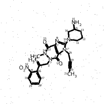 C=C(Cn1c(=O)c2c(nc(N3CCCC(N)C3)n2CC#CC)c(=O)n1C)c1ccccc1[N+](=O)[O-]